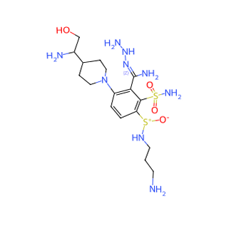 NCCCN[S+]([O-])c1ccc(N2CCC(C(N)CO)CC2)c(/C(N)=N/NN)c1S(N)(=O)=O